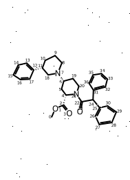 COC(=O)[C@@H]1C[C@H](N2CCC[C@@H](c3ccccc3)C2)CCN1C(=O)C(c1ccccc1)c1ccccc1